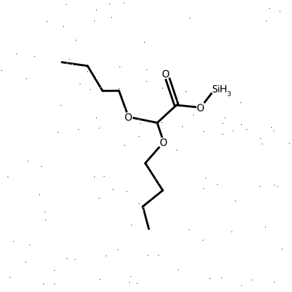 CCCCOC(OCCCC)C(=O)O[SiH3]